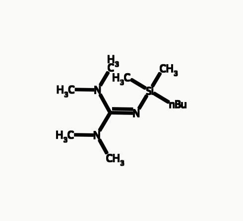 CCCC[Si](C)(C)N=C(N(C)C)N(C)C